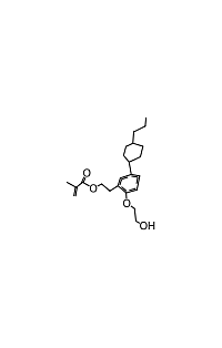 C=C(C)C(=O)OCCc1cc(C2CCC(CCC)CC2)ccc1OCCO